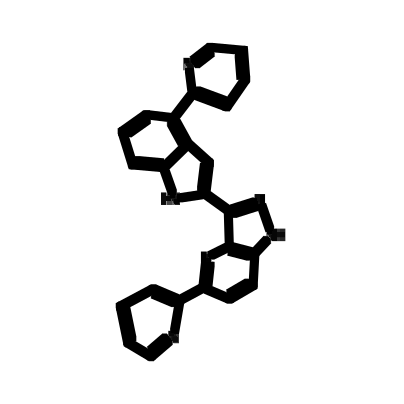 c1ccc(-c2ccc3[nH]nc(-c4cc5c(-c6ccccn6)cccc5[nH]4)c3n2)nc1